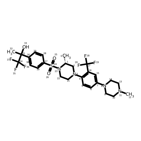 C[C@@H]1CN(c2ccc(N3CCN(C)CC3)cc2C(F)(F)F)CCN1S(=O)(=O)c1ccc(C(C)(O)C(F)(F)F)cc1